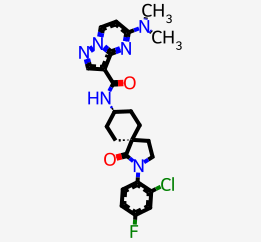 CN(C)c1ccn2ncc(C(=O)N[C@H]3CC[C@@]4(CCN(c5ccc(F)cc5Cl)C4=O)CC3)c2n1